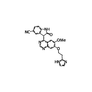 COc1cc2c(C3C(=O)Nc4ccc(C#N)cc43)ncnc2cc1OCCc1ncc[nH]1